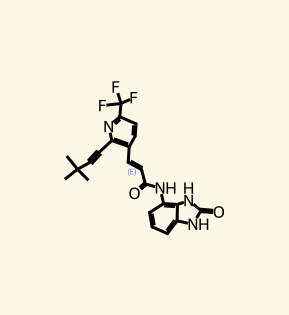 CC(C)(C)C#Cc1nc(C(F)(F)F)ccc1/C=C/C(=O)Nc1cccc2[nH]c(=O)[nH]c12